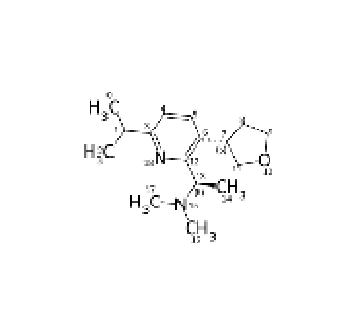 CC(C)c1ccc([C@@H]2CCOC2)c([C@@H](C)N(C)C)n1